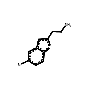 NCCc1cc2cc(Br)ccc2o1